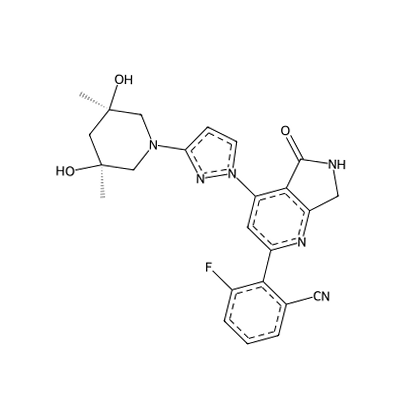 C[C@]1(O)CN(c2ccn(-c3cc(-c4c(F)cccc4C#N)nc4c3C(=O)NC4)n2)C[C@@](C)(O)C1